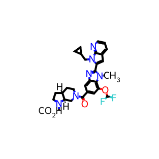 Cn1c(-c2cc3cccnc3n2CC2CC2)nc2cc(C(=O)N3CC[C@H]4CCN(C(=O)O)[C@@H]4C3)cc(OC(F)F)c21